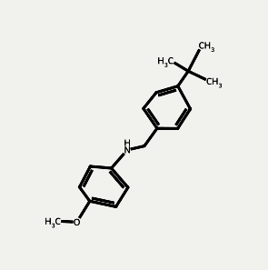 COc1ccc(NCc2ccc(C(C)(C)C)cc2)cc1